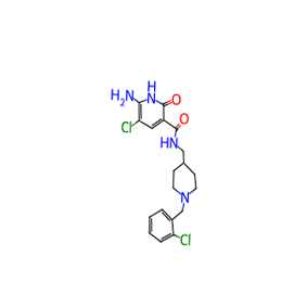 Nc1[nH]c(=O)c(C(=O)NCC2CCN(Cc3ccccc3Cl)CC2)cc1Cl